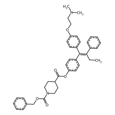 CC/C(=C(/c1ccc(OCCN(C)C)cc1)c1ccc(OC(=O)C2CCN(C(=O)OCc3ccccc3)CC2)cc1)c1ccccc1